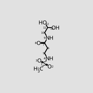 CS(=O)(=O)NCCC(=O)NCC(O)O